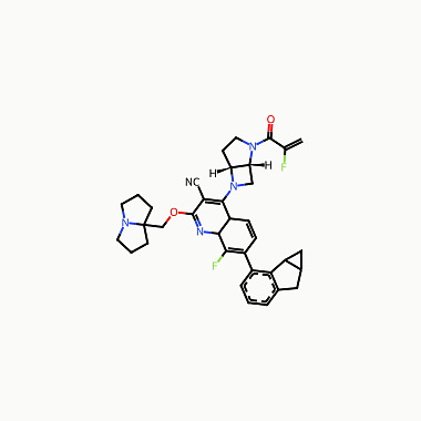 C=C(F)C(=O)N1CC[C@@H]2[C@H]1CN2C1=C(C#N)C(OCC23CCCN2CCC3)=NC2C(F)=C(c3cccc4c3C3CC3C4)C=CC12